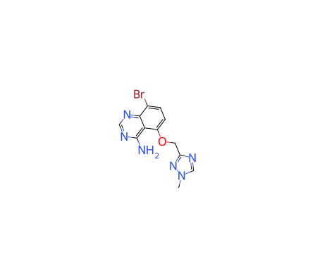 Cn1cnc(COc2ccc(Br)c3ncnc(N)c23)n1